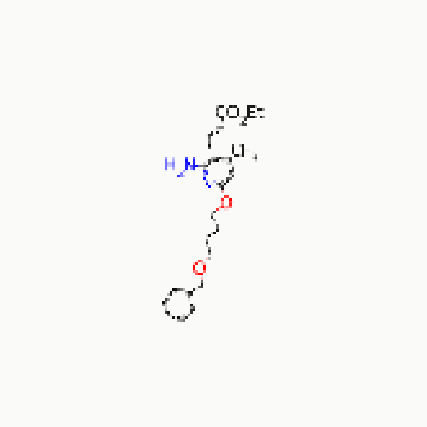 CCOC(=O)/C=C/c1c(C(F)(F)F)cc(OCCCCOCc2ccccc2)nc1N